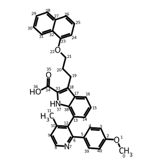 COc1ccc(-c2nccc(C)c2-c2cccc3c(CCCOc4cccc5ccccc45)c(C(=O)O)[nH]c23)cc1